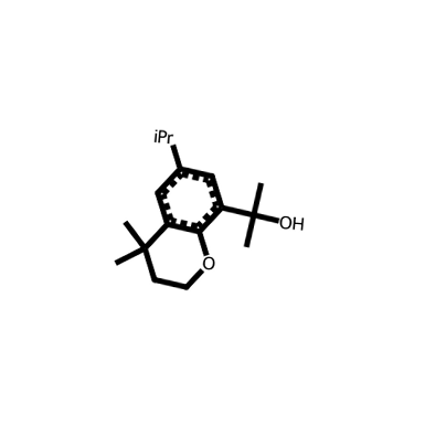 CC(C)c1cc(C(C)(C)O)c2c(c1)C(C)(C)CCO2